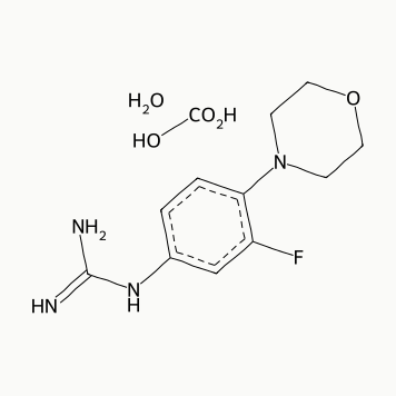 N=C(N)Nc1ccc(N2CCOCC2)c(F)c1.O.O=C(O)O